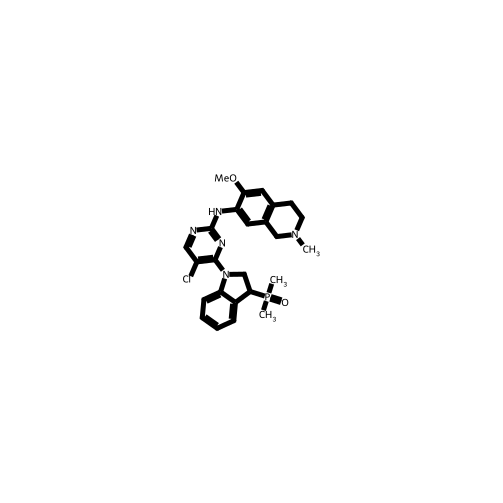 COc1cc2c(cc1Nc1ncc(Cl)c(N3CC(P(C)(C)=O)c4ccccc43)n1)CN(C)CC2